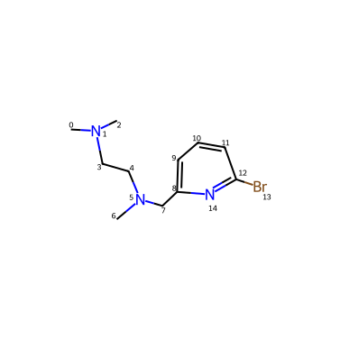 CN(C)CCN(C)Cc1cccc(Br)n1